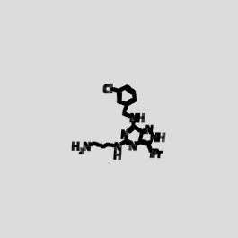 CC(C)c1[nH]nc2c(NCc3cccc(Cl)c3)nc(NCCCN)nc12